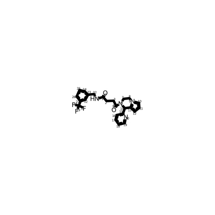 O=C(CCC(=O)N1CCn2cccc2C1c1ccccn1)NCc1cccc(C(F)(F)F)c1